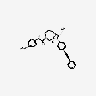 COc1ccc(NC(=O)N2CCCN3[C@H](CO)[C@H](c4ccc(C#Cc5ccccc5)cc4)[C@@H]3C2)cc1